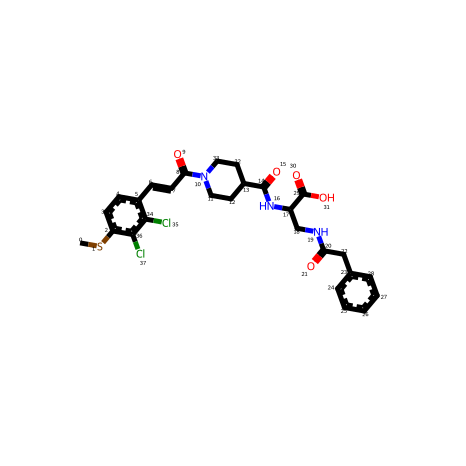 CSc1ccc(C=CC(=O)N2CCC(C(=O)NC(CNC(=O)Cc3ccccc3)C(=O)O)CC2)c(Cl)c1Cl